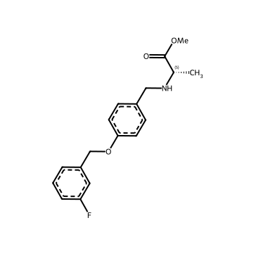 COC(=O)[C@H](C)NCc1ccc(OCc2cccc(F)c2)cc1